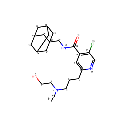 CN(CCO)CCCc1cc(C(=O)NCC23CC4CC(CC(C4)C2)C3)c(Cl)cn1